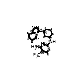 Nc1nc(N[C@@H]2CCC[C@H](c3nnc4ccccn34)C2)ncc1C(F)(F)F